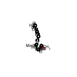 COc1cc(N2CCN(C3CCN(Cc4cc5c(cc4Br)C(=O)N(C4CCC(=O)NC4=O)C5)CC3)CC2)ccc1Nc1ncc(Cl)c(Nc2ccccc2P(C)(C)=O)n1